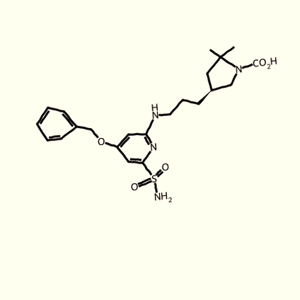 CC1(C)C[C@H](CCCNc2cc(OCc3ccccc3)cc(S(N)(=O)=O)n2)CN1C(=O)O